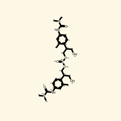 Cc1cc(NC(=O)N(C)C)ccc1C(CO)COS(=O)OCC(CO)c1ccc(NC(=O)N(C)C)cc1C